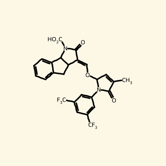 CC1=CC(OC=C2C(=O)N(C(=O)O)C3c4ccccc4CC23)N(c2cc(C(F)(F)F)cc(C(F)(F)F)c2)C1=O